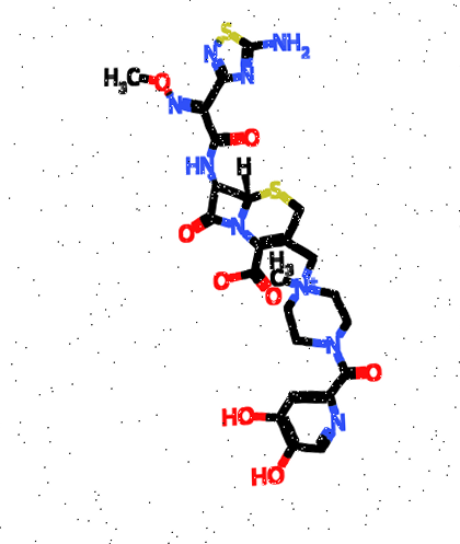 CON=C(C(=O)N[C@@H]1C(=O)N2C(C(=O)[O-])=C(C[N+]3(C)CCN(C(=O)c4cc(O)c(O)cn4)CC3)CS[C@@H]12)c1nsc(N)n1